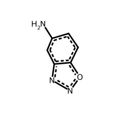 Nc1ccc2onnc2c1